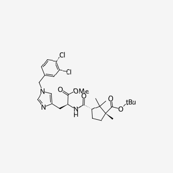 COC(=O)[C@H](Cc1cn(Cc2ccc(Cl)c(Cl)c2)cn1)NC(=O)[C@H]1CC[C@@](C)(C(=O)OC(C)(C)C)C1(C)C